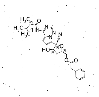 CC(C)[C@H](C)C(=O)Nc1ncnn2c([C@]3(C#N)O[C@@H](COC(=O)Cc4ccccc4)[CH][C@H]3O)ccc12